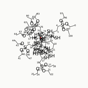 CCO[Si](CCCC(S)(C1CCCC(C(S)(CCC[Si](OCC)(OCC)OCC)C(S)(S)S)(C(S)(CCC[Si](OCC)(OCC)OCC)C(S)(S)S)C1(C(S)(CCC[Si](OCC)(OCC)OCC)C(S)(S)S)C(S)(CCC[Si](OCC)(OCC)OCC)C(S)(S)S)C(S)(S)S)(OCC)OCC